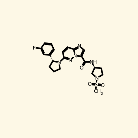 CS(=O)(=O)N1CC[C@H](NC(=O)c2cnc3ccc(N4CCC[C@@H]4c4cccc(F)c4)nn23)C1